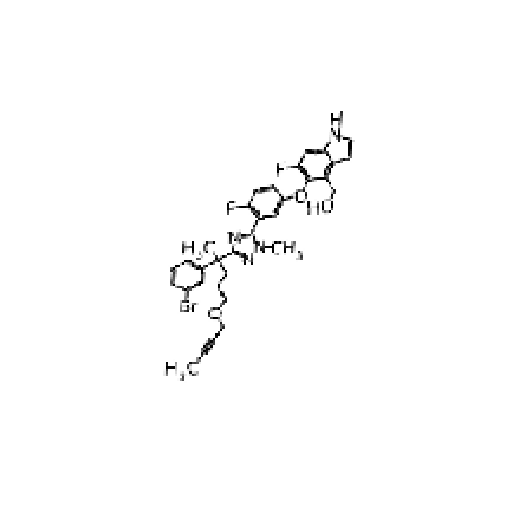 CC#CCOCCCC(C)(c1cccc(Br)c1)c1nc(-c2cc(Oc3c(F)cc4[nH]ccc4c3CO)ccc2F)n(C)n1